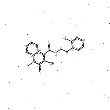 Cn1c(=O)c(O)c(C(=O)NCCc2ccccc2Cl)c2ccccc21